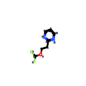 FC(F)OCCc1ncccn1